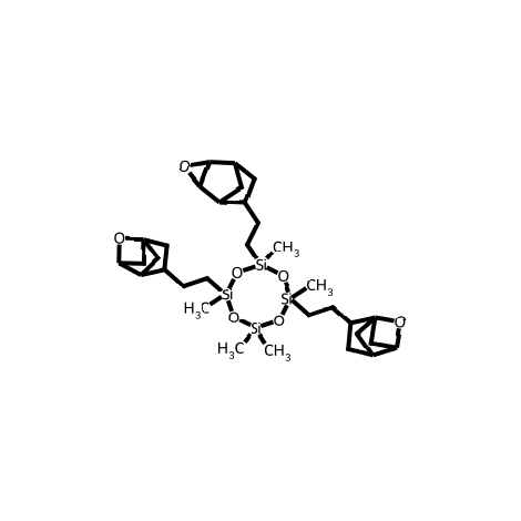 C[Si]1(C)O[Si](C)(CCC2CC34CC(O3)C2C4)O[Si](C)(CCC2CC3CC2C2OC32)O[Si](C)(CCC2CC3CC24CC3O4)O1